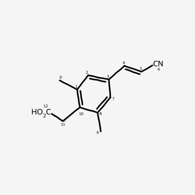 Cc1cc(C=CC#N)cc(C)c1[CH]C(=O)O